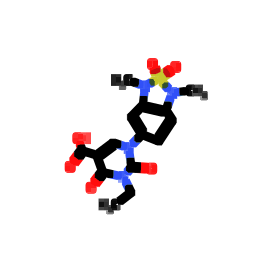 CCn1c(=O)c(C(=O)O)cn(-c2ccc3c(c2)N(C)S(=O)(=O)N3C)c1=O